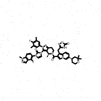 Cc1cc(-n2nc3c(c2-n2ccn(-c4ccc5c(cnn5C)c4F)c2=O)[C@H](C)N(C(=O)c2cn4cc([C@@H]5CCOC(C)(C)C5)ccc4c2Cc2noc(=O)[nH]2)CC3)cc(C)c1F